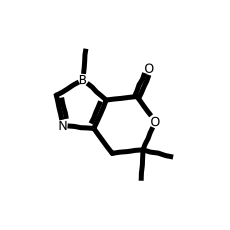 CB1C=NC2=C1C(=O)OC(C)(C)C2